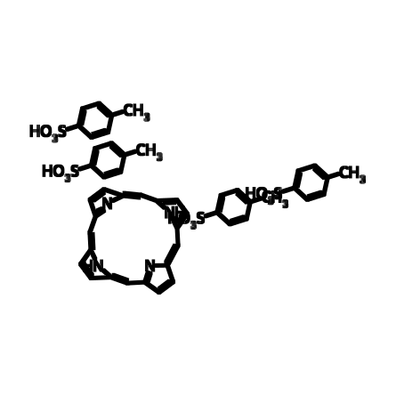 C1=Cc2cc3ccc(cc4nc(cc5ccc(cc1n2)[nH]5)C=C4)[nH]3.Cc1ccc(S(=O)(=O)O)cc1.Cc1ccc(S(=O)(=O)O)cc1.Cc1ccc(S(=O)(=O)O)cc1.Cc1ccc(S(=O)(=O)O)cc1